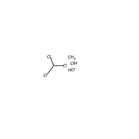 C.Cl.Cl.ClC(Cl)Cl